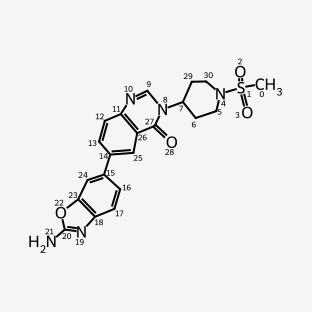 CS(=O)(=O)N1CCC(n2cnc3ccc(-c4ccc5nc(N)oc5c4)cc3c2=O)CC1